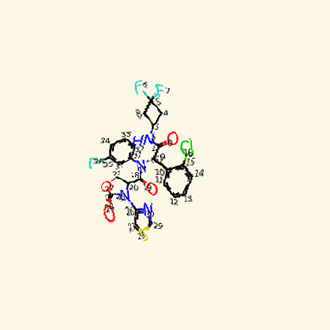 O=C(NC1CC(F)(F)C1)[C@H](c1ccccc1Cl)N(C(=O)C1COC(=O)N1c1cscn1)c1cccc(F)c1